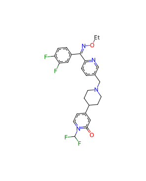 CCON=C(c1ccc(F)c(F)c1)c1ccc(CN2CCC(c3ccn(C(F)F)c(=O)c3)CC2)cn1